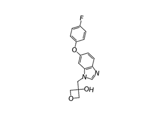 OC1(Cn2cnc3ccc(Oc4ccc(F)cc4)cc32)COC1